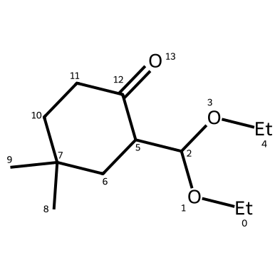 CCOC(OCC)C1CC(C)(C)CCC1=O